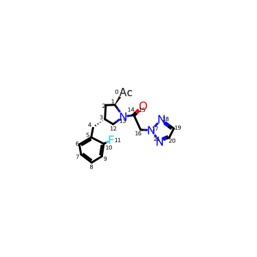 CC(=O)[C@@H]1C[C@@H](Cc2ccccc2F)CN1C(=O)Cn1nccn1